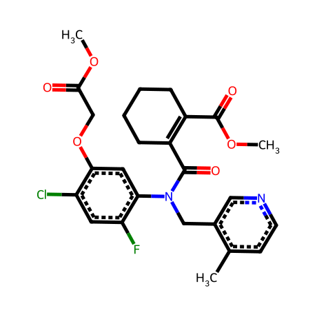 COC(=O)COc1cc(N(Cc2cnccc2C)C(=O)C2=C(C(=O)OC)CCCC2)c(F)cc1Cl